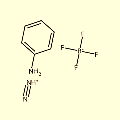 F[B-](F)(F)F.N#[NH+].Nc1ccccc1